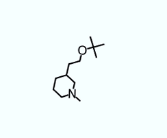 CN1CCCC(CCOC(C)(C)C)C1